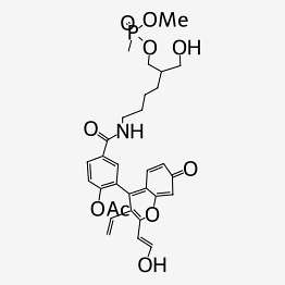 C=Cc1c(/C=C/O)oc2cc(=O)ccc-2c1-c1cc(C(=O)NCCCCC(CO)COP(C)(=O)OC)ccc1OC(C)=O